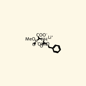 COP(=O)(OC)C(NC(=O)OCc1ccccc1)C(=O)[O-].[Li+]